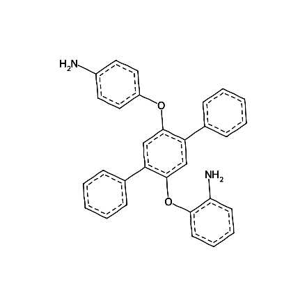 Nc1ccc(Oc2cc(-c3ccccc3)c(Oc3ccccc3N)cc2-c2ccccc2)cc1